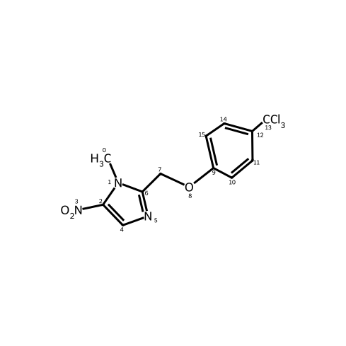 Cn1c([N+](=O)[O-])cnc1COc1ccc(C(Cl)(Cl)Cl)cc1